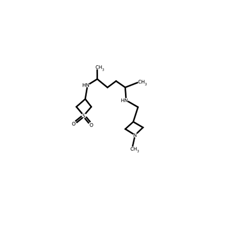 CC(CCC(C)NC1CS(=O)(=O)C1)NCC1CN(C)C1